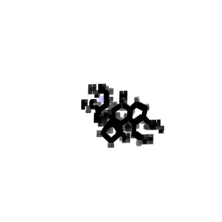 N=Cc1c(N)ccc2c1[C@H]1[C@@H]3CC[C@H](C3)[C@H]1[C@H](/C(=C/N)C(=N)C(F)(F)F)N2